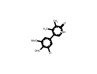 COc1cc(-c2c[nH]c(=O)c(C)c2C)cc(Cl)c1C=O